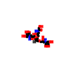 CCC(COCC(O)CNC(=O)CO)(COCC(O)CNC(CO)(CO)CO)COCC(O)CNC(CO)(CO)CO